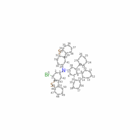 Brc1cc(N(c2ccc(-c3ccccc3-c3ccccc3)c(-c3ccccc3)c2)c2ccc3sc4ccccc4c3c2)cc2c1sc1ccccc12